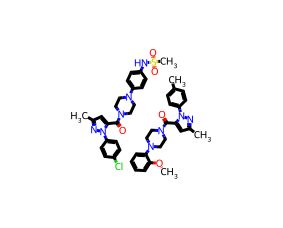 COc1ccccc1N1CCN(C(=O)c2cc(C)nn2-c2ccc(C)cc2)CC1.Cc1cc(C(=O)N2CCN(c3ccc(NS(C)(=O)=O)cc3)CC2)n(-c2ccc(Cl)cc2)n1